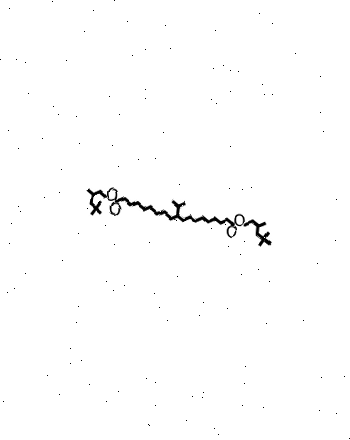 CC(CCOC(=O)CCCCCCCCC(CCCCCCCCC(=O)OCCC(C)CC(C)(C)C)C(C)C)CC(C)(C)C